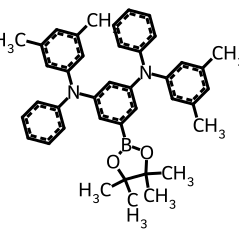 Cc1cc(C)cc(N(c2ccccc2)c2cc(B3OC(C)(C)C(C)(C)O3)cc(N(c3ccccc3)c3cc(C)cc(C)c3)c2)c1